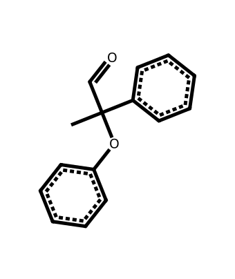 CC(C=O)(Oc1ccccc1)c1ccccc1